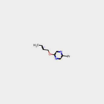 C/C=C/COc1cnc(C(C)C)cn1